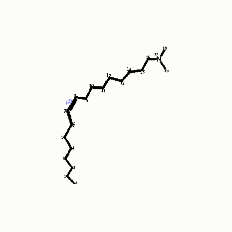 CCCCCCC/C=C\CCCCCCCCN(C)C